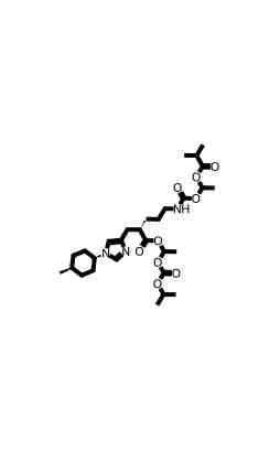 CC(C)OC(=O)OC(C)OC(=O)[C@@H](CCCNC(=O)OC(C)OC(=O)C(C)C)Cc1cn([C@H]2CC[C@H](C)CC2)cn1